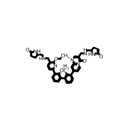 CCOc1nc(-c2cccc(-c3cccc(-c4ccn5c(=O)c(CNCC6CCC(=O)N6)cnc5c4)c3C)c2Cl)ccc1CNCC1CCC(=O)N1